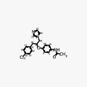 CC(=O)Nc1ccc(OC(Cc2ccc(Cl)cc2)Cn2ccnc2)cc1